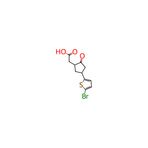 O=C(O)CC1CC(c2ccc(Br)s2)CC1=O